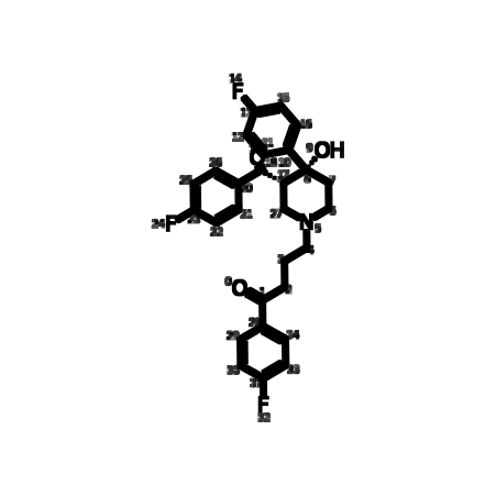 O=C(CCCN1CC[C@](O)(c2ccc(F)cc2)[C@@H](C(=O)c2ccc(F)cc2)C1)c1ccc(F)cc1